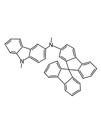 CN(c1ccc2c(c1)C1(c3ccccc3-c3ccccc31)c1ccccc1-2)c1ccc2c(c1)c1ccccc1n2C